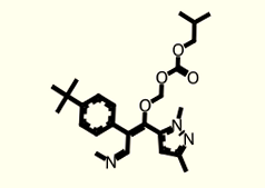 C/N=C\C(=C(\OCOC(=O)OCC(C)C)c1cc(C)nn1C)c1ccc(C(C)(C)C)cc1